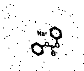 [Na+].[O-]P(Oc1ccccc1)Oc1ccccc1